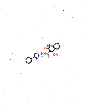 O=C(NCc1nc(-c2ccccc2)cs1)c1c(O)c2ccccc2[nH]c1=O